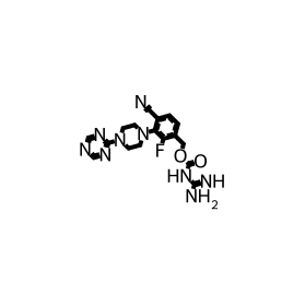 N#Cc1ccc(COC(=O)NC(=N)N)c(F)c1N1CCN(c2ncncn2)CC1